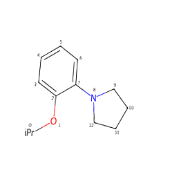 CC(C)Oc1ccccc1N1CCCC1